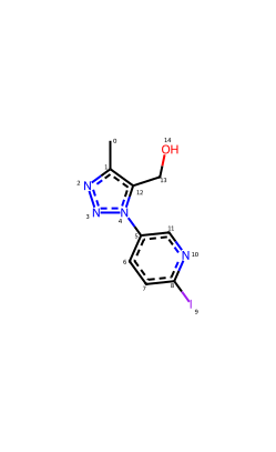 Cc1nnn(-c2ccc(I)nc2)c1CO